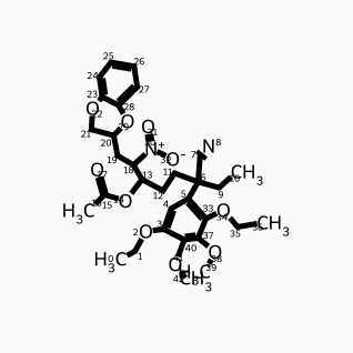 CCOc1cc(C(C#N)(CC)CCC(OC(C)=O)C(CC2COc3ccccc3O2)[N+](=O)[O-])c(OCC)c(OC)c1OC